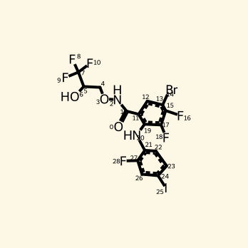 O=C(NOCC(O)C(F)(F)F)c1cc(Br)c(F)c(F)c1Nc1ccc(I)cc1F